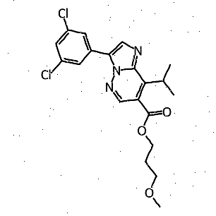 COCCCOC(=O)c1cnn2c(-c3cc(Cl)cc(Cl)c3)cnc2c1C(C)C